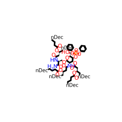 CCCCCCCCCCCCCC(=O)O[C@H](CCCCCCCCCCC)CC(=O)N[C@H]1[C@H](OC[C@H](NC(=O)C[C@@H](CCCCCCCCCCC)OC(=O)CCCCCCCCCCCCC)C(N)=O)O[C@H](CO)[C@@H](OP(=O)(Oc2ccccc2)Oc2ccccc2)[C@@H]1OC(=O)C[C@@H](CCCCCCCCCCC)OC(=O)CCCCCCCCCCCCC